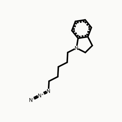 [N-]=[N+]=NCCCCCN1CCc2ccccc21